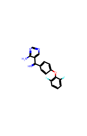 N=C(c1ccc(Oc2c(F)cccc2F)cc1)c1cncnc1N